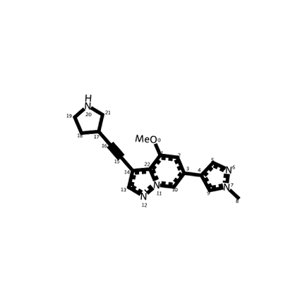 COc1cc(-c2cnn(C)c2)cn2ncc(C#CC3CCNC3)c12